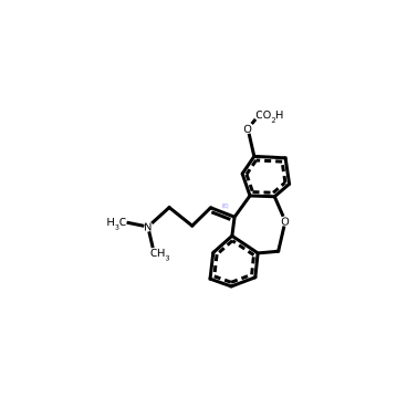 CN(C)CC/C=C1\c2ccccc2COc2ccc(OC(=O)O)cc21